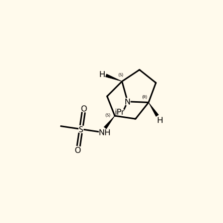 CC(C)N1[C@@H]2CC[C@H]1C[C@H](NS(C)(=O)=O)C2